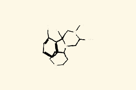 COC1CN(C2CCNCC2)C(Br)(c2ccccc2[N+](=O)[O-])CN1C(C)C